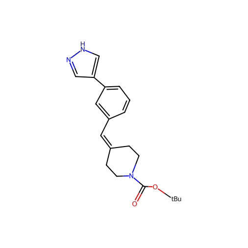 CC(C)(C)OC(=O)N1CCC(=Cc2cccc(-c3cn[nH]c3)c2)CC1